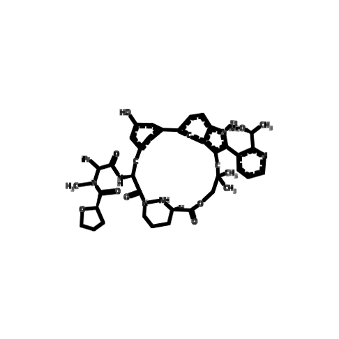 CCn1c(-c2cccnc2[C@H](C)OC)c2c3cc(ccc31)-c1cc(O)cc(c1)C[C@H](NC(=O)C(C(C)C)N(C)C(=O)[C@H]1CCCO1)C(=O)N1CCC[C@H](N1)C(=O)OCC(C)(C)C2